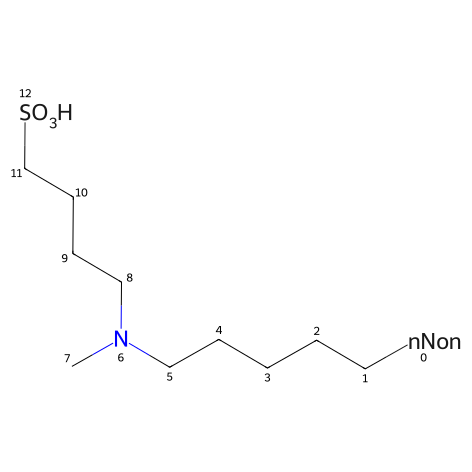 CCCCCCCCCCCCCCN(C)CCCCS(=O)(=O)O